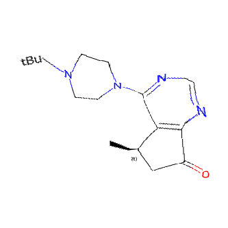 C[C@@H]1CC(=O)c2ncnc(N3CCN(C(C)(C)C)CC3)c21